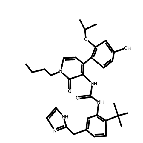 CCCCn1ccc(-c2ccc(O)cc2OC(C)C)c(NC(=O)Nc2cc(Cc3ncc[nH]3)ccc2C(C)(C)C)c1=O